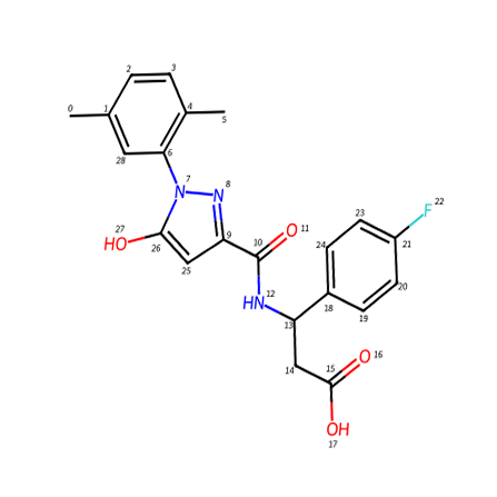 Cc1ccc(C)c(-n2nc(C(=O)NC(CC(=O)O)c3ccc(F)cc3)cc2O)c1